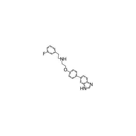 Fc1cccc(CCNCCOc2ccc(-c3ccc4nc[nH]c4c3)cc2)c1